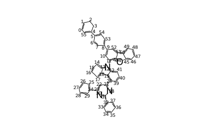 C1=CCCC(c2ccc(-c3cc(-n4c5ccccc5c5c(-c6cc(-c7ccccc7)nc(-c7ccccc7)n6)cccc54)c4oc5ccccc5c4c3)cc2)=C1